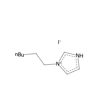 CCCCCC[n+]1cc[nH]c1.[I-]